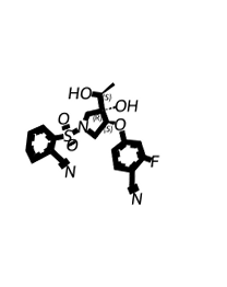 C[C@H](O)[C@]1(O)CN(S(=O)(=O)c2ccccc2C#N)C[C@@H]1Oc1ccc(C#N)c(F)c1